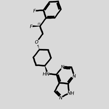 Fc1ccccc1[C@H](F)CO[C@H]1CC[C@H](Nc2ncnc3[nH]ncc23)CC1